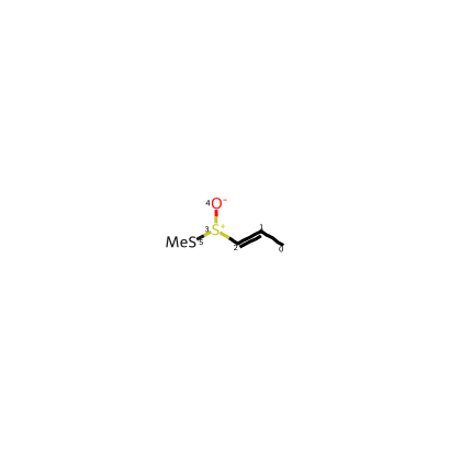 CC=C[S+]([O-])SC